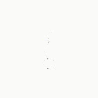 N/N=C/Sc1cccs1